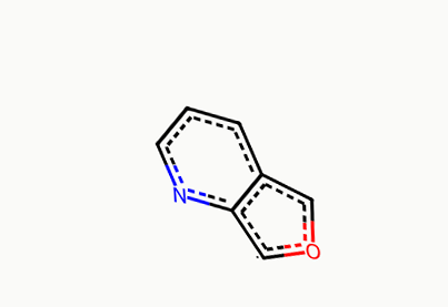 [c]1occ2cccnc12